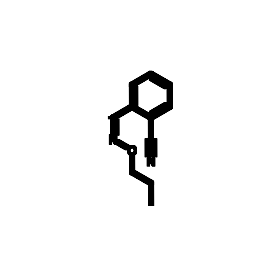 CCCO/N=[C]\c1ccccc1C#N